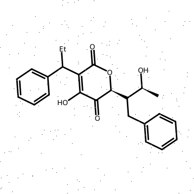 CCC(C1=C(O)C(=O)[C@H](C(Cc2ccccc2)[C@H](C)O)OC1=O)c1ccccc1